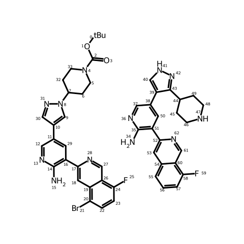 CC(C)(C)OC(=O)N1CCC(n2cc(-c3cnc(N)c(-c4cc5c(Br)ccc(F)c5cn4)c3)cn2)CC1.Nc1ncc(-c2c[nH]nc2C2CCNCC2)cc1-c1cc2cccc(F)c2cn1